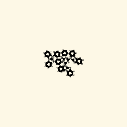 c1ccc([Si](c2ccccc2)(c2cccc(-n3c4ccccc4n4c5ccccc5nc34)c2)c2nc(-n3c4ccccc4n4c5ccccc5nc34)nc(-n3c4ccccc4n4c5ccccc5nc34)n2)cc1